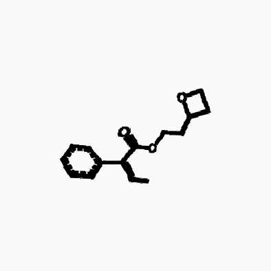 CC=C(C(=O)OCCC1CCO1)c1ccccc1